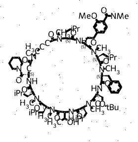 CNC(=O)c1ccc(CC[C@@H]2NC(=O)[C@H](CC(C)C)N(C)C(=O)CCCN(C)C(=O)C[C@@H](C(=O)N3CCCCC3)NC(=O)[C@H](CC(C)C)N(C)C(=O)[C@H](CC(C)C)N(C)C(=O)C(C(C)O)NC(=O)[C@H](CC(C)C)N(C)C(=O)[C@H](COC(C)(C)C)NC(=O)[C@H](Cc3ccccc3)N(C)C(=O)[C@H](CC(C)C)N(C)C2=O)cc1OC